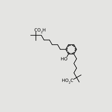 CC(C)(CCCCCCc1cccc(CCCCC(C)(C)C(=O)O)c1O)C(=O)O